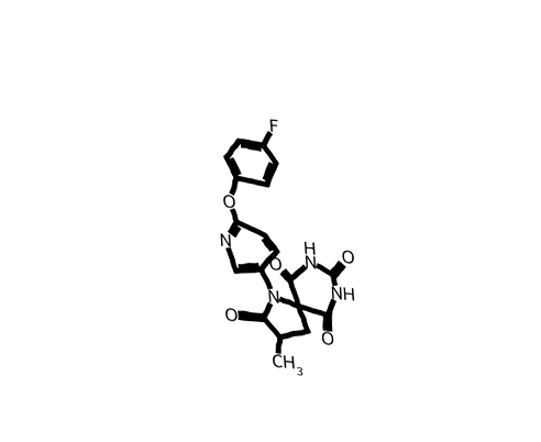 CC1CC2(C(=O)NC(=O)NC2=O)N(c2ccc(Oc3ccc(F)cc3)nc2)C1=O